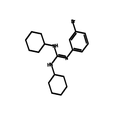 Brc1cccc(N=C(NC2CCCCC2)NC2CCCCC2)c1